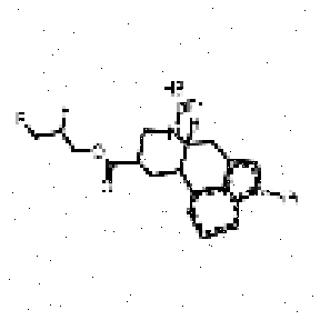 Br.CCCN1C[C@H](C(=O)OCC(F)CF)CC2c3cccc4c3c(cn4C(C)C)C[C@H]21